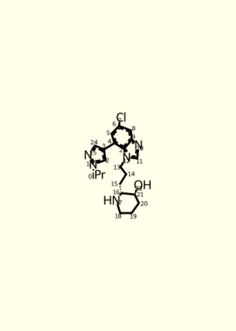 CC(C)n1cc(-c2cc(Cl)cc3ncn(CCC[C@H]4NCCC[C@@H]4O)c23)cn1